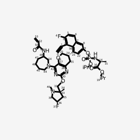 C#Cc1c(F)ccc2cc(OP(=O)(N[C@@H](C)C(=O)OC(C)C)OC(C)C)cc([C@H]3COc4c(nc(OC[C@]5(C)C[C@@H](F)CN5C)nc4N4CCCCC(NC(=O)C=C)C4)C3)c12